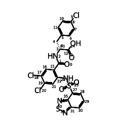 O=C(N[C@H](Cc1ccc(Cl)cc1)C(=O)O)c1cc(Cl)c(Cl)cc1NS(=O)(=O)c1cccc2nsnc12